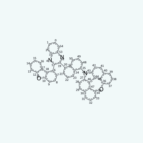 c1ccc2nc(-c3cccc4oc5ccccc5c34)c(-c3cccc4c(-n5c6ccc7cccc8oc9cccc%10ccc5c(c%109)c6c78)cccc34)nc2c1